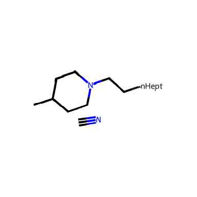 C#N.CCCCCCCCCN1CCC(C)CC1